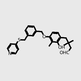 Cc1c(OCc2cccc(CSc3ccncc3)c2)ccc(CC(C)(C)CC=O)c1O